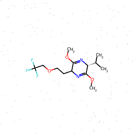 COC1=N[C@H](C(C)C)C(OC)=NC1CCOCC(F)(F)F